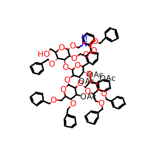 CC(=O)OC1C(OC(C)=O)[C@@H](OCc2ccccc2)C(COCc2ccccc2)O[C@@H]1OC1C(OC(C)=O)[C@@H](OCc2ccccc2)C(COCc2ccccc2)O[C@@H]1OC1C(OC(C)=O)[C@@H](OCc2ccccc2)C(COCc2ccccc2)O[C@@H]1O[C@@H]1C(OCc2ccccc2)[C@@H](OCNC(=O)OCc2ccccc2)OC(CO)[C@H]1OCc1ccccc1